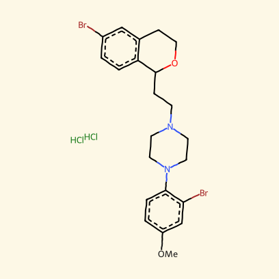 COc1ccc(N2CCN(CCC3OCCc4cc(Br)ccc43)CC2)c(Br)c1.Cl.Cl